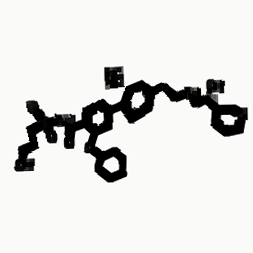 Cl.Cl.O=C(NS(=O)(=O)CCCO)c1ccc(-c2ccc(CCNC[C@H](O)c3cccnc3)cc2)cc1OC1CCCCC1